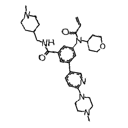 C=CC(=O)N(c1cc(C(=O)NCC2CCN(C)CC2)cc(-c2ccc(N3CCN(C)CC3)nc2)c1)C1CCOCC1